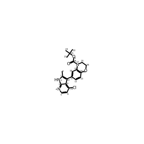 Cc1[nH]c2nccc(Cl)c2c1-c1ccc2c(c1)N(C(=O)OC(C)(C)C)CCO2